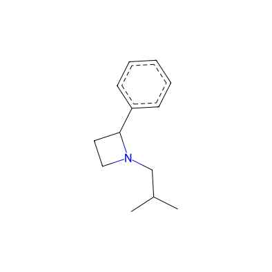 CC(C)CN1CCC1c1ccccc1